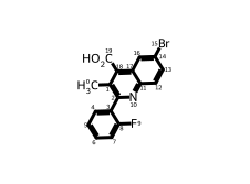 Cc1c(-c2ccccc2F)nc2ccc(Br)cc2c1C(=O)O